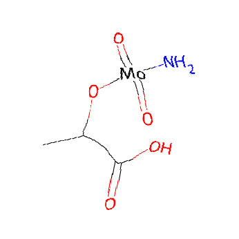 CC([O][Mo]([NH2])(=[O])=[O])C(=O)O